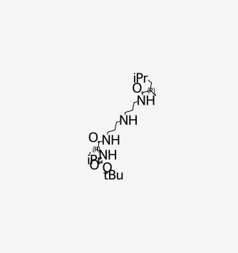 CC(C)C[C@@H](C)C(=O)NCCCNCCCNC(=O)[C@@H](CC(C)C)NC(=O)OC(C)(C)C